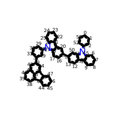 c1ccc(-n2c3ccccc3c3ccc(-c4ccc5c(c4)c4ccccc4n5-c4cccc(-c5cc6c7c(cccc7c5)-c5ccccc5-6)c4)cc32)cc1